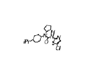 CC(C)C1CCC(N(C(=O)Nc2ncc(Cl)s2)C2CCCC2)CC1